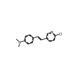 CN(C)c1ccc(C=Cc2ccc(Cl)nc2)cc1